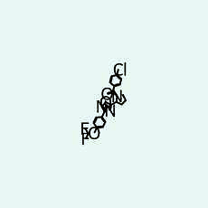 O=C(c1ccc(Cl)cc1)N1CCCC1c1nc(-c2ccc(OC(F)F)cc2)no1